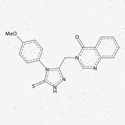 COc1ccc(-n2c(Cn3cnc4ccccc4c3=O)n[nH]c2=S)cc1